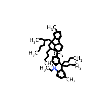 CCCCC(CC)CC1(CC(CC)CCCC)c2cc(C)ccc2C2C=CC(c3ccc4c(c3)C(CCCC)(CCCC)c3cc(C)ccc3N4CC)=CC21